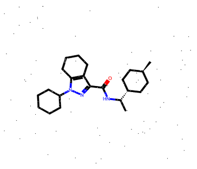 CC(NC(=O)c1nn(C2CCCCC2)c2c1CCCC2)[C@H]1CC[C@H](C)CC1